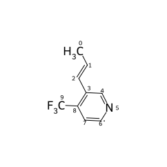 CC=Cc1cn[c]cc1C(F)(F)F